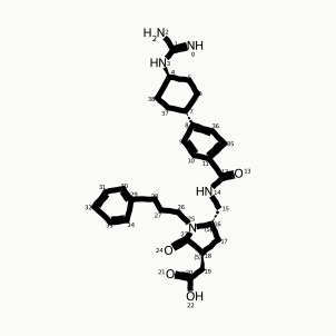 N=C(N)N[C@H]1CC[C@H](c2ccc(C(=O)NC[C@@H]3C[C@@H](CC(=O)O)C(=O)N3CCCc3ccccc3)cc2)CC1